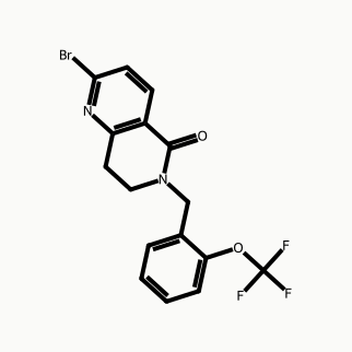 O=C1c2ccc(Br)nc2CCN1Cc1ccccc1OC(F)(F)F